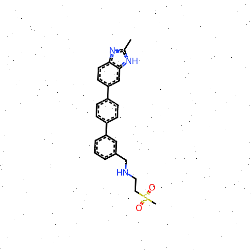 Cc1nc2ccc(-c3ccc(-c4cccc(CNCCS(C)(=O)=O)c4)cc3)cc2[nH]1